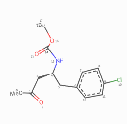 COC(=O)C[C@H](Cc1ccc(Cl)cc1)NC(=O)OC(C)(C)C